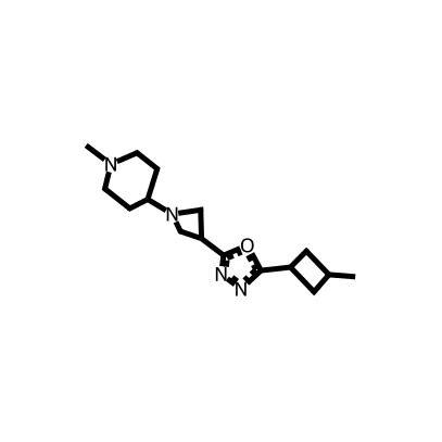 CC1CC(c2nnc(C3CN(C4CCN(C)CC4)C3)o2)C1